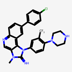 Cn1c(=N)n(-c2ccc(N3CCNCC3)c(C(F)(F)F)c2)c2c3cc(-c4ccc(Cl)cc4)ccc3ncc21